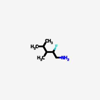 CC(C)C(C)C(F)CN